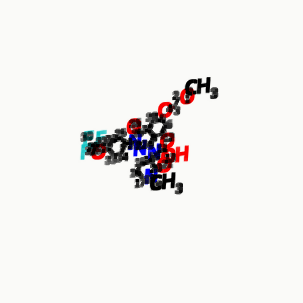 COCCOc1ccc2c(N(C(=O)O)c3cccn(C)c3=O)nn(-c3ccc(OC(F)(F)F)cc3)c(=O)c2c1